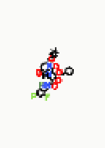 CC(C)(C)[Si](C)(C)OC[C@H]1C=CC(=O)[C@H]2CN1C(=O)c1c(OCc3ccccc3)c(=O)c(C(=O)NCc3c(F)cc(F)cc3F)cn12